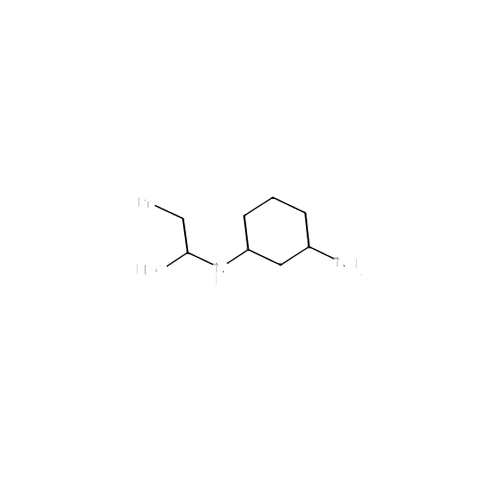 CC(C)CC(C)NC1CCCC(N)C1